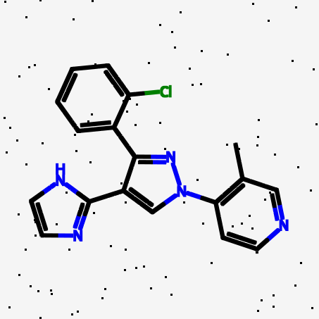 Cc1cn[c]cc1-n1cc(-c2ncc[nH]2)c(-c2ccccc2Cl)n1